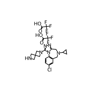 Clc1ccc2c(c1)CN(C1CC1)Cc1nnc(N3CC4(CNC4)C3)n1-2.O=C(O)C(F)(F)F.O=C(O)C(F)(F)F